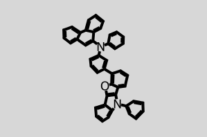 c1ccc(N(c2cccc(-c3cccc4c3oc3c5ccccc5n(-c5ccccc5)c43)c2)c2cc3ccccc3c3ccccc23)cc1